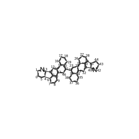 c1cnc2c(c1)-c1cccc3c1c-2cc1c2ccccc2c(-c2cc4c5cccc6c5c(cc4c4ccccc24)-c2ncccc2-6)cc31